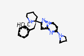 O=C(O)N1CCCC[C@]1(Cc1ccccc1)c1cc2nc(N3CCC3)ccn2n1